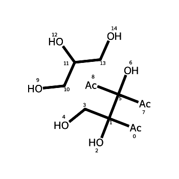 CC(=O)C(O)(CO)C(O)(C(C)=O)C(C)=O.OCC(O)CO